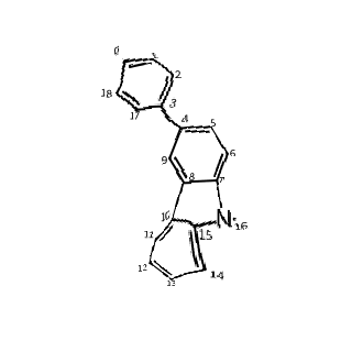 c1ccc(-c2ccc3c(c2)-c2ccccc2[N]3)cc1